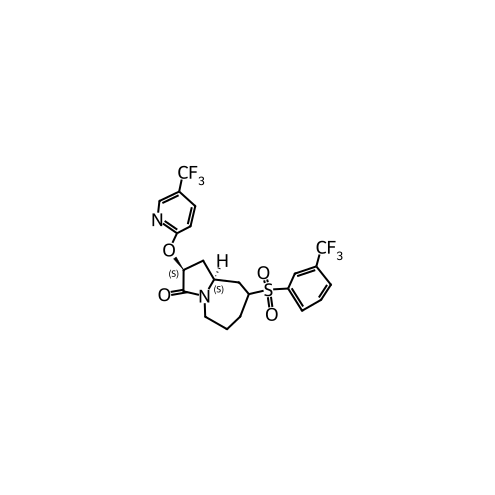 O=C1[C@@H](Oc2ccc(C(F)(F)F)cn2)C[C@H]2CC(S(=O)(=O)c3cccc(C(F)(F)F)c3)CCCN12